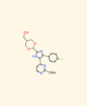 COc1nccc(-c2[nH]c(C3OCC(CO)CO3)nc2-c2ccc(F)cc2)n1